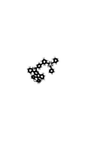 c1ccc(-c2nc(-c3ccccc3)nc(-c3cccc(-c4ccc(-c5nc6ccccc6c6cc7c(cc56)-c5ccccc5C75c6ccccc6Oc6ccccc65)cc4)c3)n2)cc1